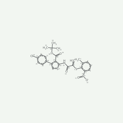 C=C(Sc1c(C)cccc1[N+](=O)[O-])C(=O)Nc1scc(-c2ccc(Cl)cc2)c1C(=O)OC(C)(C)C